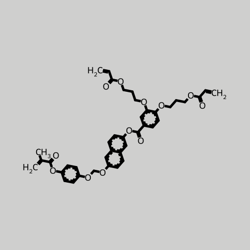 C=CC(=O)OCCCOc1ccc(C(=O)Oc2ccc3cc(OCOc4ccc(OC(=O)C(=C)C)cc4)ccc3c2)cc1OCCCOC(=O)C=C